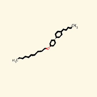 CCCCCCCCCCO[C@H]1CC[C@H](C2CCC(CCCCC)CC2)CC1